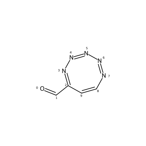 O=CC1=NN=NN=NC=C1